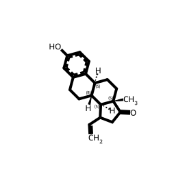 C=CC1CC(=O)[C@@]2(C)CC[C@@H]3c4ccc(O)cc4CC[C@H]3[C@H]12